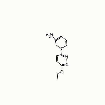 CCOc1ccc(N2C=CC=C(N)C2)nn1